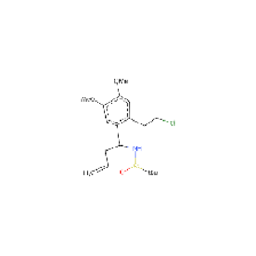 C=CCC(N[S+]([O-])C(C)(C)C)c1cc(OC)c(OC)cc1CCCl